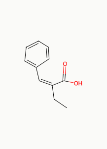 CC/C(=C/c1ccccc1)C(=O)O